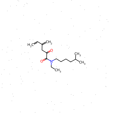 C=CC(=C)CC(=O)C(=O)N(CC)CCCCC(C)C